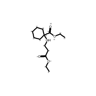 CCOC(=O)CCNC1(C(=O)OCC)CCCCC1